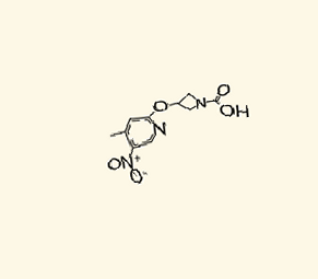 Cc1cc(OC2CN(C(=O)O)C2)ncc1[N+](=O)[O-]